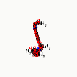 CCCCCC(CC(=O)COCC(=O)CCCOCCOCCOCCOCCOCCOCCOCCOCCn1cc(CCC(=O)C2CCC(CN3C(=O)CC(C)C3=O)CC2)nn1)C(=O)Nc1ccc(COC(=O)OC2(CC)C(=O)CCc3c2cc2n(c3=O)Cc3c-2nc2ccc(O)cc2c3CC)cc1